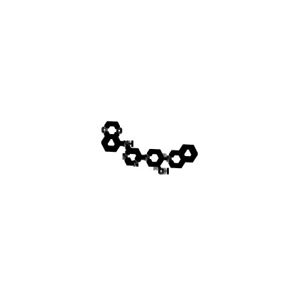 O[C@@H]1CN(c2cc(Nc3cccc4c3OCCO4)ncn2)CC[C@H]1N1CCc2ccccc2C1